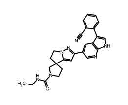 CCNC(=O)N1CCC2(CCn3nc(-c4cnc5[nH]cc(-c6ccccc6C#N)c5c4)cc32)C1